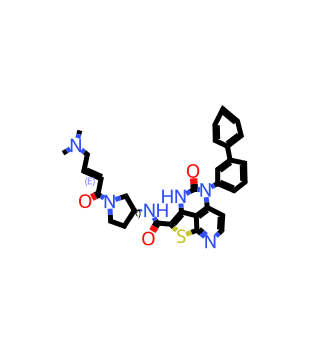 CN(C)C/C=C/C(=O)N1CC[C@@H](NC(=O)c2sc3nccc4c3c2NC(=O)N4c2cccc(-c3ccccc3)c2)C1